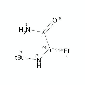 CC[C@H](NC(C)(C)C)C(N)=O